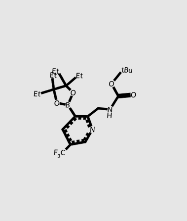 CCC1(CC)OB(c2cc(C(F)(F)F)cnc2CNC(=O)OC(C)(C)C)OC1(CC)CC